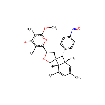 COc1oc([C@H]2C[C@@]3(CO2)[C@H](c2ccc(N=O)cc2)[C@]2(C)C=C(C)C=C(C)[C@@H]23)c(C)c(=O)c1C